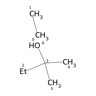 CC.CCC(C)(C)O